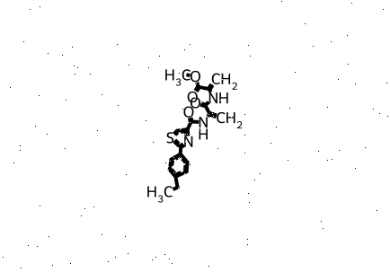 C=C(NC(=O)c1csc(-c2ccc(CC)cc2)n1)C(=O)NC(=C)C(=O)OC